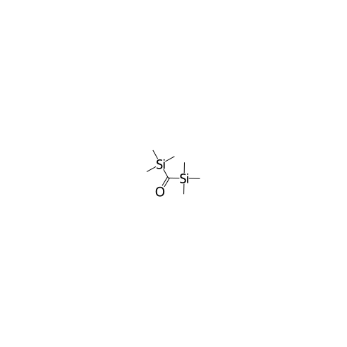 C[Si](C)(C)C(=O)[Si](C)(C)C